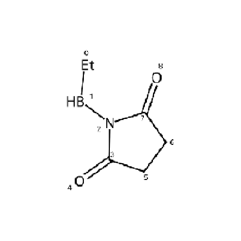 CCBN1C(=O)CCC1=O